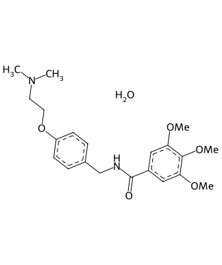 COc1cc(C(=O)NCc2ccc(OCCN(C)C)cc2)cc(OC)c1OC.O